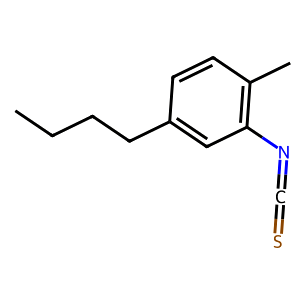 CCCCc1ccc(C)c(N=C=S)c1